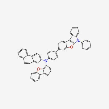 c1ccc(-n2c3ccccc3c3c4ccc(-c5ccc(N(c6ccc7c(ccc8ccccc87)c6)c6cccc7c6oc6ccccc67)cc5)cc4oc32)cc1